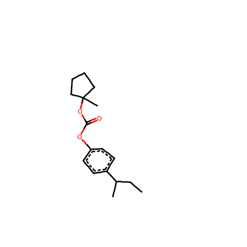 CCC(C)c1ccc(OC(=O)OC2(C)CCCC2)cc1